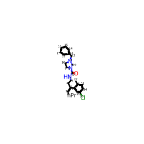 CCC/C=C(/CCNC(=O)N1CCN(Cc2ccccc2)C1)c1cc(Cl)ccc1C